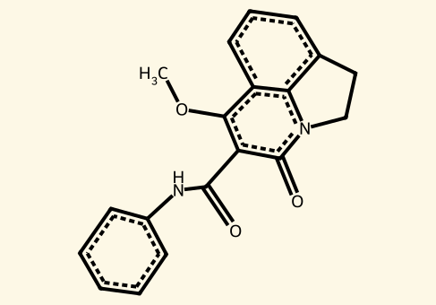 COc1c(C(=O)Nc2ccccc2)c(=O)n2c3c(cccc13)CC2